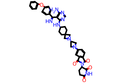 N=C(c1ccc(Oc2ccccc2)cc1)c1c(N)ncnc1NC1CCC2(CC1)CN(C1CN(c3ccc4c(c3)C(=O)N(C3CCC(=O)NC3=O)C4=O)C1)C2